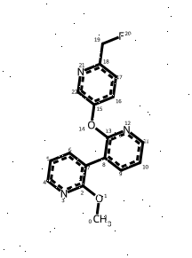 COc1ncccc1-c1cccnc1Oc1ccc(CF)nc1